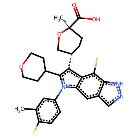 Cc1cc(-n2c(C3CCOCC3)c([C@H]3CC[C@](C)(C(=O)O)OC3)c3c(F)c4[nH]ncc4cc32)ccc1F